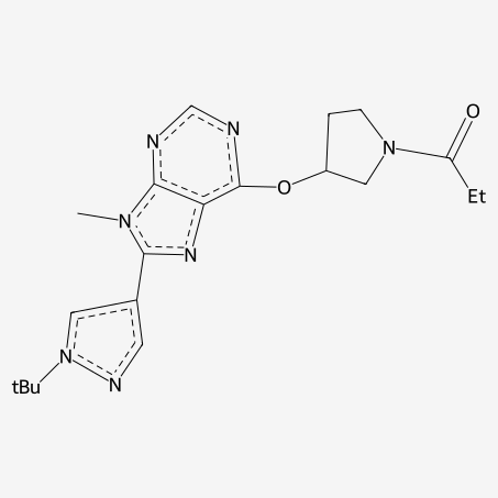 CCC(=O)N1CCC(Oc2ncnc3c2nc(-c2cnn(C(C)(C)C)c2)n3C)C1